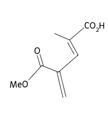 C=C(C=C(C)C(=O)O)C(=O)OC